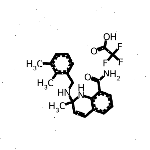 Cc1cccc(CNC2(C)C=Cc3cccc(C(N)=O)c3N2)c1C.O=C(O)C(F)(F)F